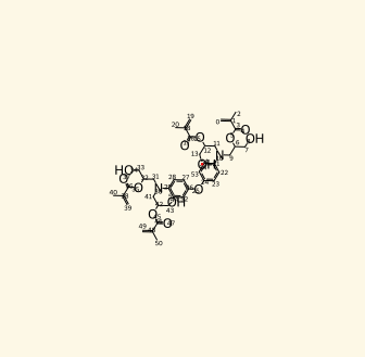 C=C(C)C(=O)OC(CO)CN(CC(CO)OC(=O)C(=C)C)c1ccc(Oc2ccc(N(CC(CO)OC(=O)C(=C)C)CC(CO)OC(=O)C(=C)C)cc2)cc1